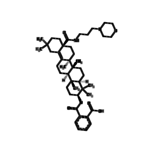 CC1(C)CC[C@]2(C(=O)NCCCN3CCOCC3)CC[C@]3(C)C(=C2C1)CC[C@@H]1[C@@]2(C)CC[C@H](OC(=O)c4ccccc4C(=O)O)C(C)(C)[C@@H]2CC[C@]13C